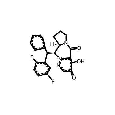 O=C1c2c(O)c(=O)cnn2[C@@H](C(c2ccccc2)c2cc(F)ccc2F)[C@H]2CCCN12